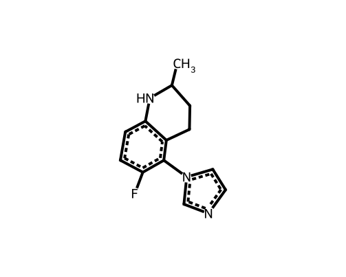 CC1CCc2c(ccc(F)c2-n2ccnc2)N1